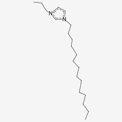 CCCCCCCCCCCCCCn1cc[n+](CCC)c1